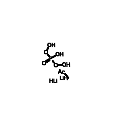 CC(C)=O.O=P(O)(OO)OO.[LiH].[LiH]